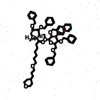 CC[C@@H](OCc1ccccc1)[C@@H](OCc1ccccc1)[C@H](COC1OC(COCc2ccccc2)C(OCc2ccccc2)C(OCc2ccccc2)C1OCc1ccccc1)NC(=O)CCCCCCOCCCC1CCOCC1